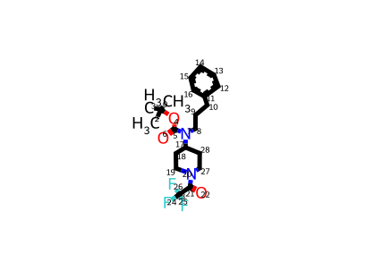 CC(C)(C)OC(=O)N(CCCc1ccccc1)C1CCN(C(=O)C(F)(F)F)CC1